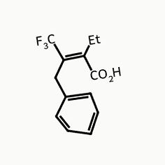 CCC(C(=O)O)=C(Cc1ccccc1)C(F)(F)F